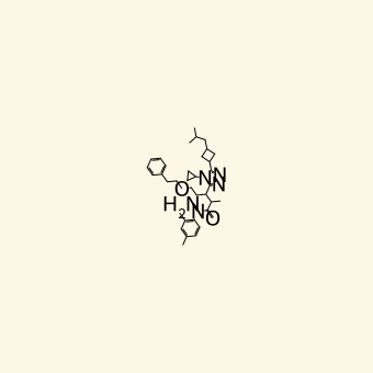 Cc1ccc(N(N)C(=O)C(C)C(CCOCCc2ccccc2)c2nnc(C3CC(CC(C)C)C3)n2C2CC2)c(C)c1